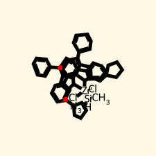 C[SiH](C)[Zr]([Cl])([Cl])([CH]1C(CC2CCCC2)=Cc2c(-c3ccccc3)ccc(-c3ccccc3)c21)[CH]1C(CC2CCCC2)=Cc2c(-c3ccccc3)ccc(-c3ccccc3)c21